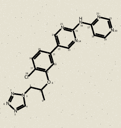 CC(Cn1cnnn1)Oc1cc(-c2cnc(Nc3ccncn3)nc2)ccc1Cl